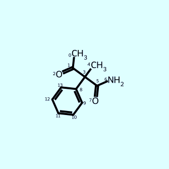 CC(=O)C(C)(C(N)=O)c1ccccc1